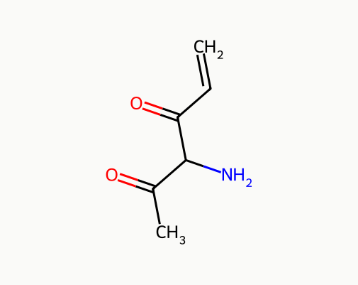 C=CC(=O)C(N)C(C)=O